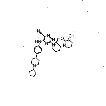 C[C@@H]1[C@H](N2CCCN(C)C2=O)CCCN1c1cnc(C#N)c(Nc2ccc(C3CCN(C4CCCC4)CC3)cc2)n1